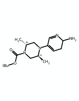 C[C@@H]1CN(C2=CCC(N)N=C2)[C@@H](C)CN1C(=O)OC(C)(C)C